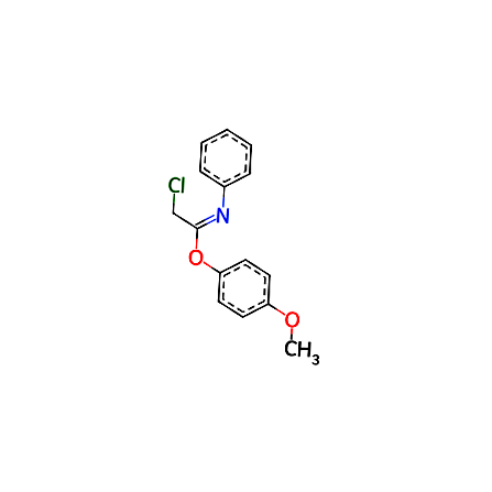 COc1ccc(OC(CCl)=Nc2ccccc2)cc1